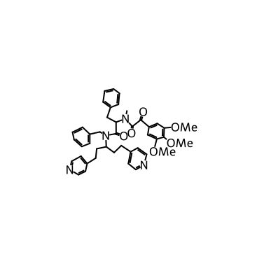 COc1cc(C(=O)C(=O)N(C)C(Cc2ccccc2)C(=O)N(Cc2ccccc2)C(CCc2ccncc2)CCc2ccncc2)cc(OC)c1OC